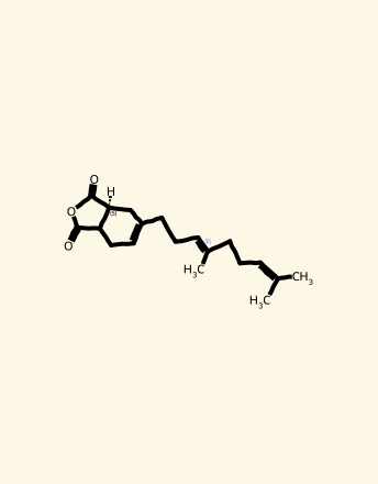 CC(C)=CCC/C(C)=C/CCC1=CCC2C(=O)OC(=O)[C@H]2C1